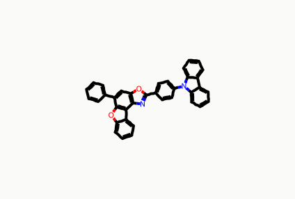 c1ccc(-c2cc3oc(-c4ccc(-n5c6ccccc6c6ccccc65)cc4)nc3c3c2oc2ccccc23)cc1